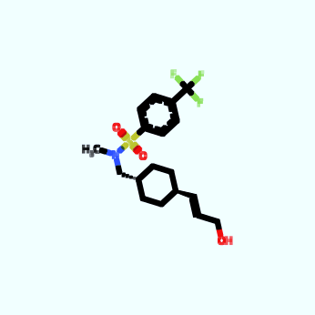 CN(C[C@H]1CC[C@H](/C=C/CO)CC1)S(=O)(=O)c1ccc(C(F)(F)F)cc1